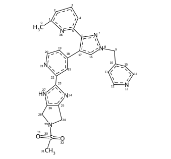 Cc1cccc(-c2nn(Cc3ccncc3)cc2-c2ccnc(-c3nc4c([nH]3)CN(S(C)(=O)=O)C4)c2)n1